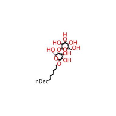 CCCCCCCCCCCCCCCCO[C@@H]1O[C@H](CO)[C@@H](O[C@H]2O[C@H](CO)[C@@H](O)[C@H](O)[C@H]2O)[C@H](O)[C@H]1O